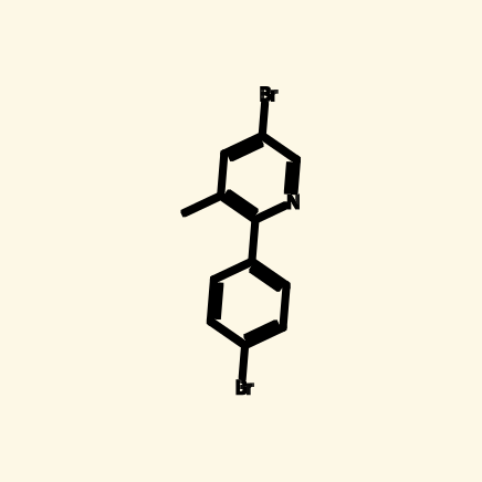 Cc1cc(Br)cnc1-c1ccc(Br)cc1